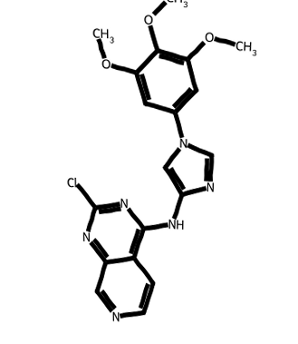 COc1cc(-n2cnc(Nc3nc(Cl)nc4cnccc34)c2)cc(OC)c1OC